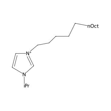 CCCCCCCCCCCCC[n+]1ccn(C(C)C)c1